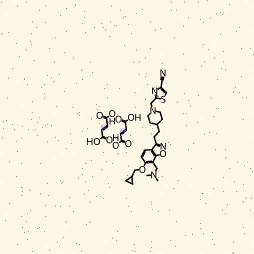 CN(C)Cc1c(OCC2CC2)ccc2c(CCC3CCN(Cc4nc(C#N)cs4)CC3)noc12.O=C(O)/C=C/C(=O)O.O=C(O)/C=C/C(=O)O